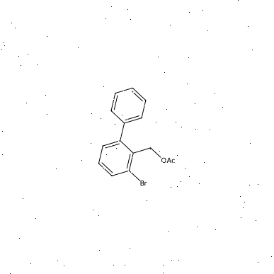 CC(=O)OCc1c(Br)cccc1-c1ccccc1